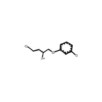 OC(CCCl)COc1cccc(Cl)c1